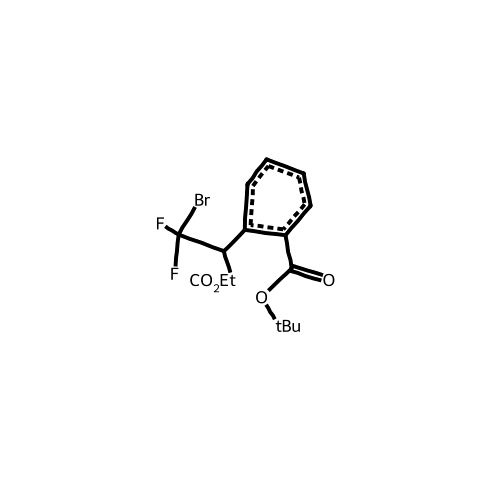 CCOC(=O)C(c1ccccc1C(=O)OC(C)(C)C)C(F)(F)Br